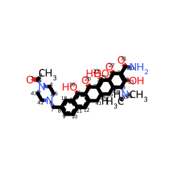 CC(=O)N1CCN(Cc2ccc3cc4c(c(O)c3c2)C(=O)C2=C(O)[C@]3(O)C(=O)C(C(N)=O)=C(O)[C@@H](N(C)C)[C@@H]3C[C@@H]2C4)CC1